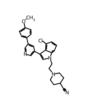 COc1ccc(-c2cncc(-c3cn(CCN4CCC(C#N)CC4)c4cccc(Cl)c34)c2)cc1